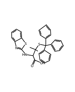 CC(C)(SC(c1ccccc1)(c1ccccc1)c1ccccc1)C(Nc1nc2ccccc2s1)C(=O)O